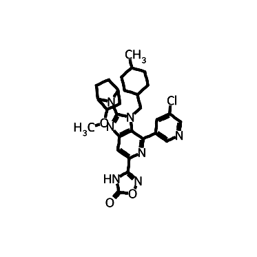 COC1CC2CCC1N2c1nc2cc(-c3noc(=O)[nH]3)nc(-c3cncc(Cl)c3)c2n1CC1CCC(C)CC1